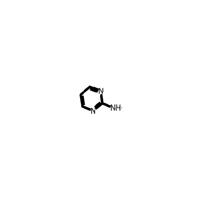 [NH]c1ncccn1